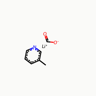 Cc1cccnc1.O=C[O-].[Li+]